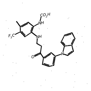 Cc1cc(NC(=O)O)c(NCCC(=O)c2cccc(-n3ccc4ccccc43)c2)cc1C(F)(F)F